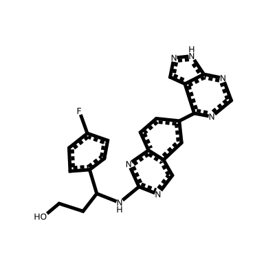 OCCC(Nc1ncc2cc(-c3ncnc4[nH]ncc34)ccc2n1)c1ccc(F)cc1